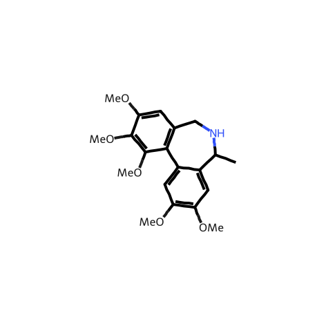 COc1cc2c(cc1OC)C(C)NCc1cc(OC)c(OC)c(OC)c1-2